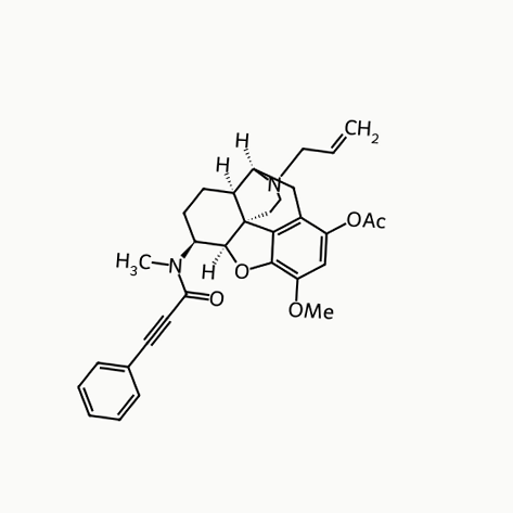 C=CCN1CC[C@]23c4c5c(OC(C)=O)cc(OC)c4O[C@H]2[C@@H](N(C)C(=O)C#Cc2ccccc2)CC[C@H]3[C@H]1C5